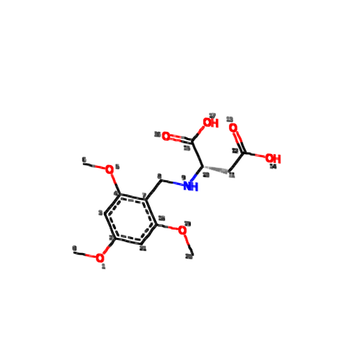 COc1cc(OC)c(CN[C@@H](CC(=O)O)C(=O)O)c(OC)c1